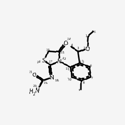 CCOC(C)c1ccc(C)cc1N1C(=O)CSC1=NC(N)=O